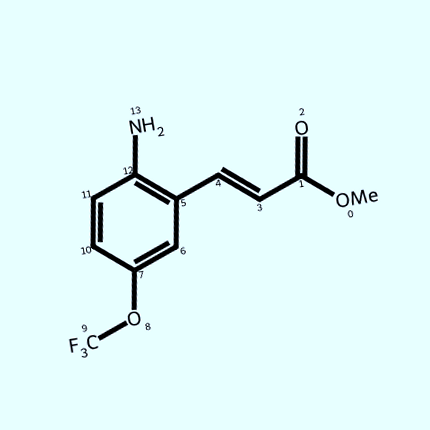 COC(=O)C=Cc1cc(OC(F)(F)F)ccc1N